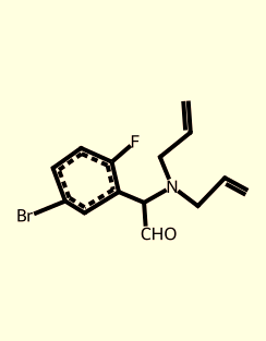 C=CCN(CC=C)C(C=O)c1cc(Br)ccc1F